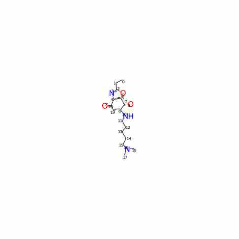 CCc1nc2c(o1)C(=O)C(NCCCCCN(C)C)=CC2=O